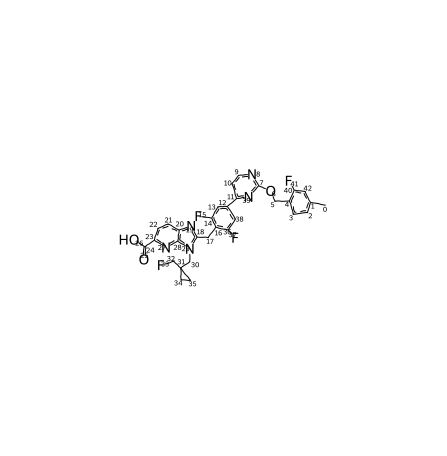 Cc1ccc(COc2nccc(-c3cc(F)c(Cc4nc5ccc(C(=O)O)nc5n4CC4(CF)CC4)c(F)c3)n2)c(F)c1